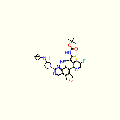 C[C@H]1C(NC23CC(C2)C3)CCN1c1ncc2c3c(c(-c4ncc(F)c5sc(NC(=O)OC(C)(C)C)c(C#N)c45)c(F)c2n1)COC3